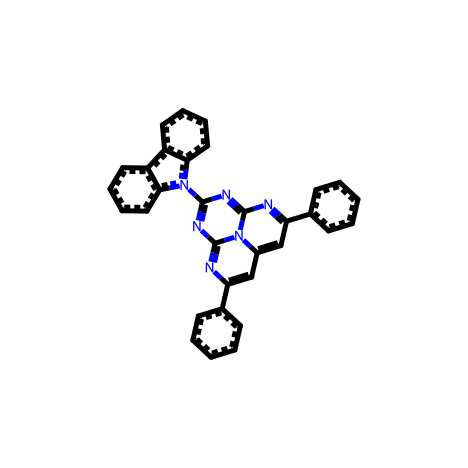 C1=C(c2ccccc2)N=C2N=C(n3c4ccccc4c4ccccc43)N=C3N=C(c4ccccc4)C=C1N23